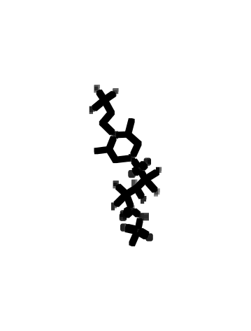 CC1CN(S(=O)(=O)C(F)(F)C(F)(F)C(F)(F)S(=O)(=O)NS(C)(=O)=O)CC(C)N1CCC(F)(F)F